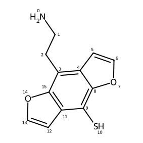 NCCc1c2ccoc2c(S)c2ccoc12